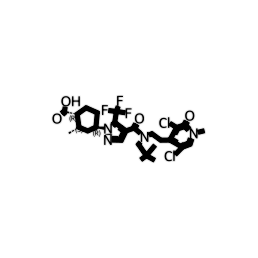 C[C@H]1C[C@H](n2ncc(C(=O)N(CCc3c(Cl)cn(C)c(=O)c3Cl)CC(C)(C)C)c2C(F)(F)F)CC[C@H]1C(=O)O